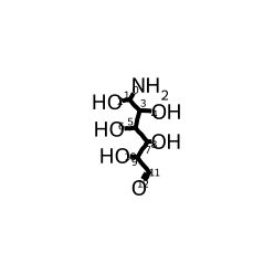 NC(O)C(O)C(O)C(O)C(O)C=O